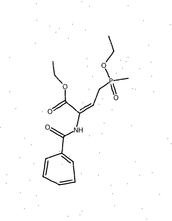 CCOC(=O)C(=CCP(C)(=O)OCC)NC(=O)c1ccccc1